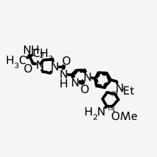 CCN(Cc1ccc(-n2ccc(NC(=O)N3CCN(C(=O)C(C)(C)N)CC3)nc2=O)cc1)[C@H]1CCC(N)[C@@H](OC)C1